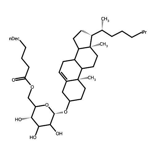 CCCCCCCCCCCCCC(=O)OCC1O[C@H](OC2CC[C@@]3(C)C(=CCC4C3CC[C@@]3(C)C4CC[C@@H]3[C@H](C)CCCC(C)C)C2)C(O)C(O)[C@@H]1O